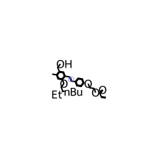 C=CC(=O)OCCOc1ccc(/C=C/c2cc(CO)c(C)cc2OCC(CC)CCCC)cc1